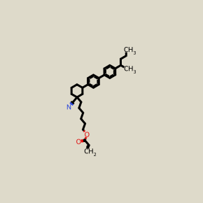 C=CC(=O)OCCCCCCC1(C#N)CCCC(c2ccc(-c3ccc(C(C)CCC)cc3)cc2)C1